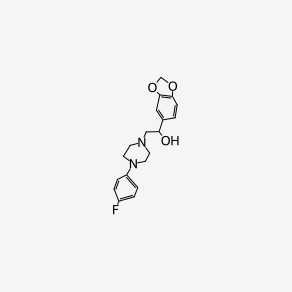 OC(CN1CCN(c2ccc(F)cc2)CC1)c1ccc2c(c1)OCO2